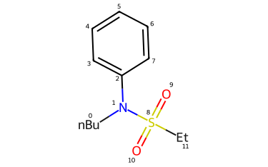 CCCCN(c1ccccc1)S(=O)(=O)CC